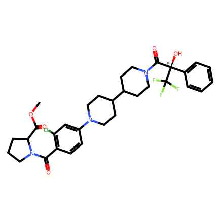 COC(=O)C1CCCN1C(=O)c1ccc(N2CCC(C3CCN(C(=O)[C@](O)(c4ccccc4)C(F)(F)F)CC3)CC2)cc1Cl